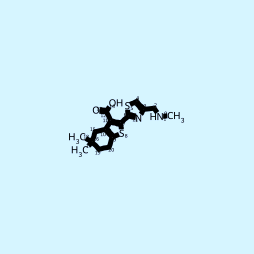 CNCc1csc(-c2sc3c(c2C(=O)O)CC(C)(C)CC3)n1